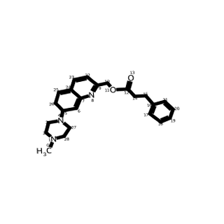 CN1CCN(C2C=c3nc(COC(=O)CCc4ccccc4)ccc3=CC2)CC1